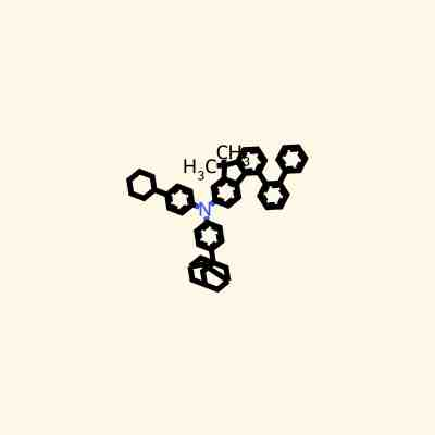 CC1(C)c2cc(N(c3ccc(C4CCCCC4)cc3)c3ccc(C45CC6CC(CC(C6)C4)C5)cc3)ccc2-c2c(-c3ccccc3-c3ccccc3)cccc21